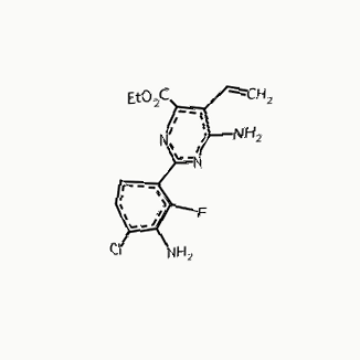 C=Cc1c(N)nc(-c2ccc(Cl)c(N)c2F)nc1C(=O)OCC